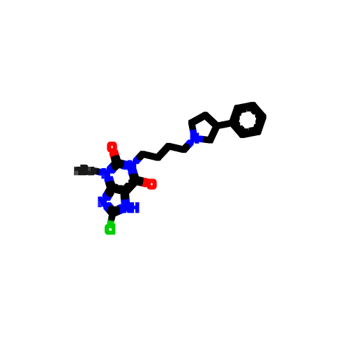 CCCCn1c(=O)n(CCCCN2CCC(c3ccccc3)C2)c(=O)c2[nH]c(Cl)nc21